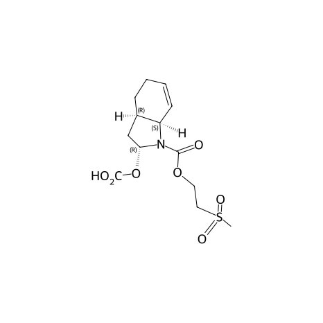 CS(=O)(=O)CCOC(=O)N1[C@@H]2C=CCC[C@@H]2C[C@H]1OC(=O)O